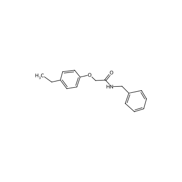 CCc1ccc(OCC(=O)NCc2ccccc2)cc1